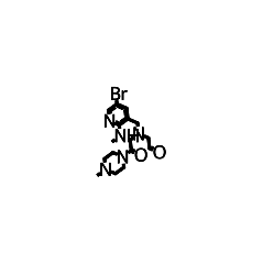 CNc1ncc(Br)cc1CN(CC=O)CC(=O)N1CCN(C)CC1